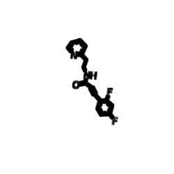 O=C(C#Cc1ccc(F)cc1F)NCCc1ccccn1